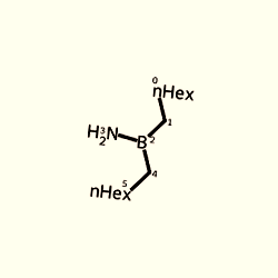 CCCCCCCB(N)CCCCCCC